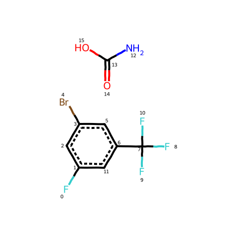 Fc1cc(Br)cc(C(F)(F)F)c1.NC(=O)O